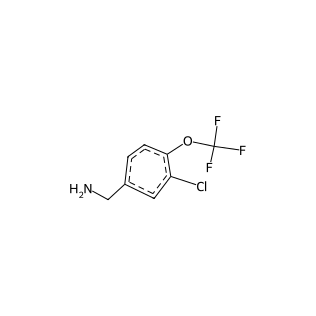 NCc1ccc(OC(F)(F)F)c(Cl)c1